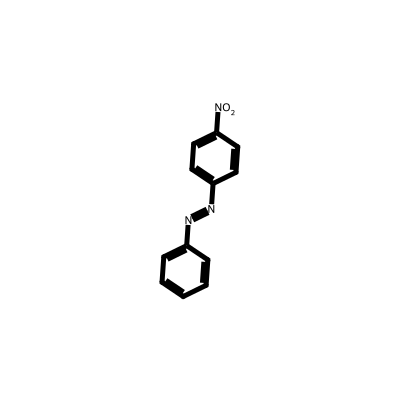 O=[N+]([O-])c1ccc(N=Nc2ccccc2)cc1